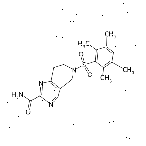 Cc1cc(C)c(C)c(S(=O)(=O)N2CCc3nc(C(N)=O)ncc3C2)c1C